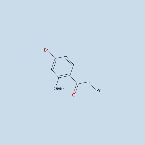 COc1cc(Br)ccc1C(=O)CC(C)C